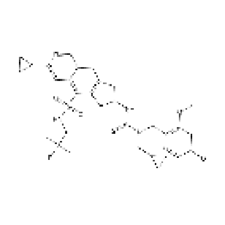 COc1ccc(CN(CC2CC2)C(=S)NC2Cc3cc4cnc(C5CC5)cc4c(S(=O)(=O)NCC(C)(C)F)c3C2)c(OC)c1